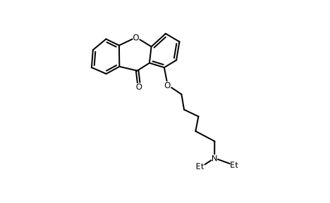 CCN(CC)CCCCCOc1cccc2oc3ccccc3c(=O)c12